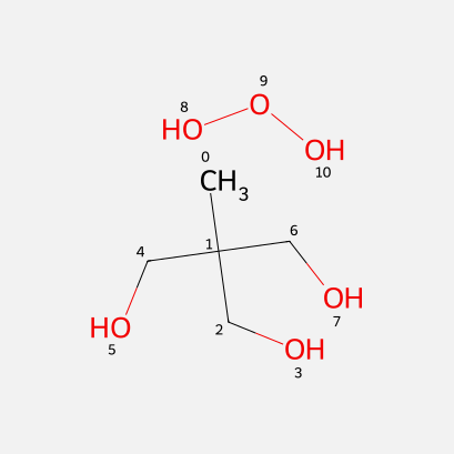 CC(CO)(CO)CO.OOO